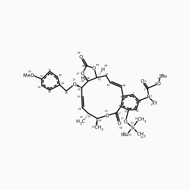 CCN(C(=O)OC(C)(C)C)c1cc2c(c(O[Si](C)(C)C(C)(C)C)c1)C(=O)O[C@@H](C)[C@H](C)/C=C\[C@@H](OCc1ccc(OC)cc1)[C@H]1OC(=O)O[C@H]1C/C=C/2